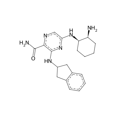 NC(=O)c1ncc(N[C@@H]2CCCC[C@@H]2N)nc1NC1Cc2ccccc2C1